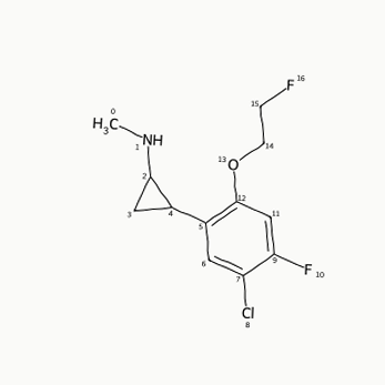 CNC1CC1c1cc(Cl)c(F)cc1OCCF